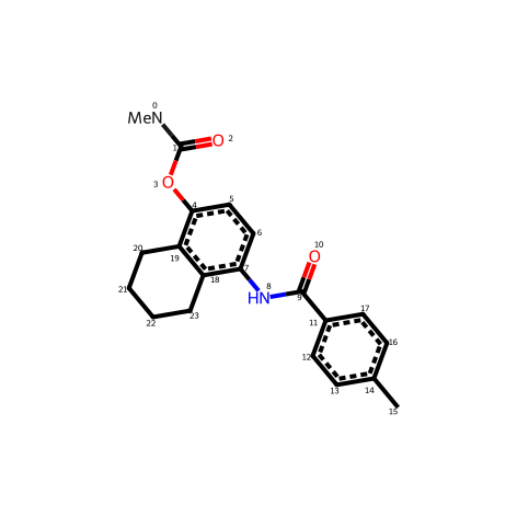 CNC(=O)Oc1ccc(NC(=O)c2ccc(C)cc2)c2c1CCCC2